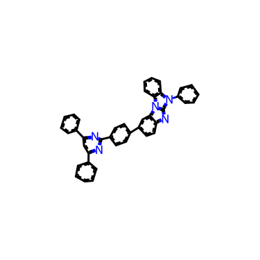 c1ccc(-c2cc(-c3ccccc3)nc(-c3ccc(-c4ccc5nc6n(-c7ccccc7)c7ccccc7n6c5c4)cc3)n2)cc1